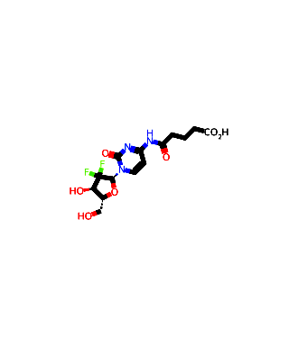 O=C(O)CCCC(=O)Nc1ccn([C@@H]2O[C@H](CO)[C@@H](O)C2(F)F)c(=O)n1